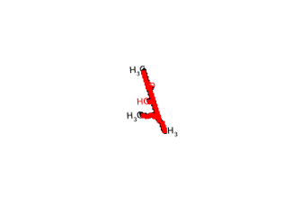 CCCCCC#CCOC(CCCCCCCN(CCO)CCCCCCC(C=O)COCCCCCCCCC)OCC#CCCCCC